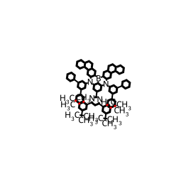 CC(C)(C)c1cc(-c2cc(-c3cc(C(C)(C)C)cc(C(C)(C)C)c3)nc(-c3cc4c5c(c3)N(c3cc(-c6ccccc6)cc(-c6ccccc6)c3)c3cc6c(ccc7ccccc76)cc3B5c3cc5ccc6ccccc6c5cc3N4c3cc(-c4ccccc4)cc(-c4ccccc4)c3)n2)cc(C(C)(C)C)c1